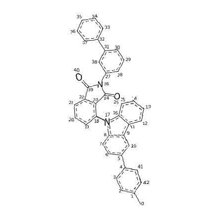 Cc1ccc(-c2ccc3c(c2)c2ccccc2n3-c2cccc3c2C(=O)N(c2cccc(-c4ccccc4)c2)C3=O)cc1